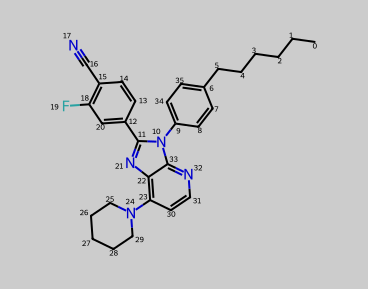 CCCCCCc1ccc(-n2c(-c3ccc(C#N)c(F)c3)nc3c(N4CCCCC4)ccnc32)cc1